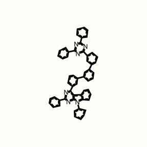 c1ccc(-c2nc(-c3ccccc3)nc(-c3cccc(-c4cccc(-c5cccc(-c6nc(-c7ccccc7)nc7c6c6ccccc6n7-c6ccccc6)c5)c4)c3)n2)cc1